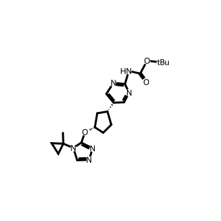 CC(C)(C)OC(=O)Nc1ncc([C@@H]2CC[C@H](Oc3nncn3C3(C)CC3)C2)cn1